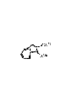 CCOC(=O)c1cc2ccccc2n1OC